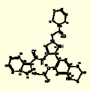 O=C(NC1=CN(CC(=O)N2CC=CCC2)NC1c1cc2c(cc1OC(F)F)NCCS2)c1cnn2cccnc12